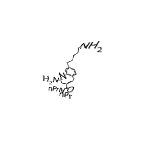 CCCN(CCC)C(=O)C1=Cc2ccc(CCCCCN)cc2N=C(N)C1